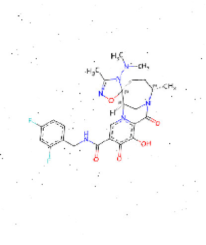 CC1=NO[C@@]2(CC[C@H](C)N3C[C@H]2n2cc(C(=O)NCc4ccc(F)cc4F)c(=O)c(O)c2C3=O)N1N(C)C